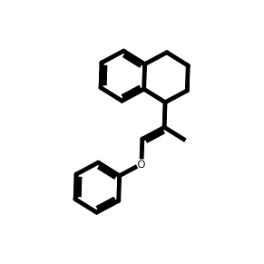 CC(=COc1ccccc1)C1CCCc2ccccc21